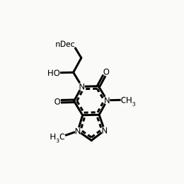 CCCCCCCCCCCC(O)n1c(=O)c2c(ncn2C)n(C)c1=O